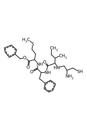 CCC(C)C(NCC(N)CS)C(=O)NC(Cc1ccccc1)C(=O)NC(CCSC)C(=O)OCc1ccccc1